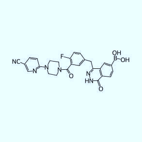 N#Cc1ccc(N2CCN(C(=O)c3cc(Cc4n[nH]c(=O)c5ccc(B(O)O)cc45)ccc3F)CC2)nc1